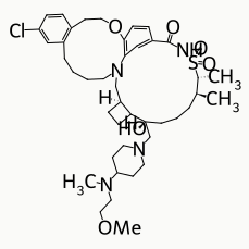 COCCN(C)C1CCN(C[C@@]2(O)CCC[C@H](C)[C@@H](C)S(=O)(=O)NC(=O)c3ccc4c(c3)N(CCCCc3cc(Cl)ccc3CCO4)C[C@@H]3CC[C@H]32)CC1